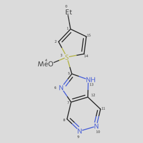 CCC1=CS(OC)(c2nc3cnncc3[nH]2)C=C1